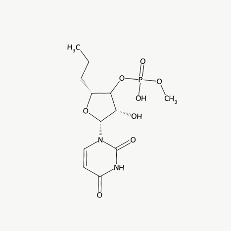 CCC[C@H]1O[C@@H](n2ccc(=O)[nH]c2=O)[C@@H](O)C1OP(=O)(O)OC